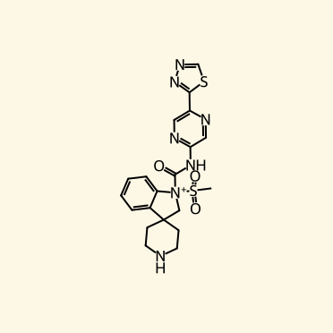 CS(=O)(=O)[N+]1(C(=O)Nc2cnc(-c3nncs3)cn2)CC2(CCNCC2)c2ccccc21